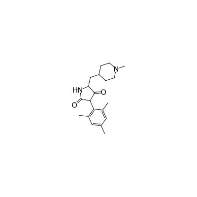 Cc1cc(C)c(C2C(=O)NC(CC3CCN(C)CC3)C2=O)c(C)c1